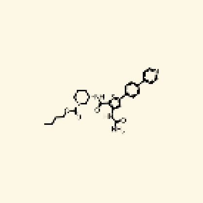 CCCCOC(=O)N1CCC[C@H](NC(=O)c2sc(-c3ccc(-c4ccncc4)cc3)cc2NC(N)=O)C1